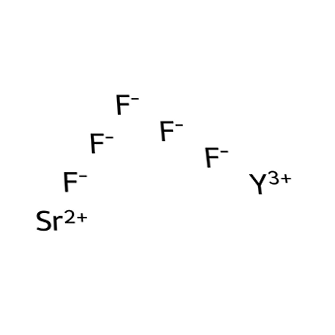 [F-].[F-].[F-].[F-].[F-].[Sr+2].[Y+3]